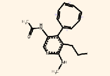 CNc1ncc(NC(C)=O)c(C2=C/C=C\C=C/C=C\2)c1CCI